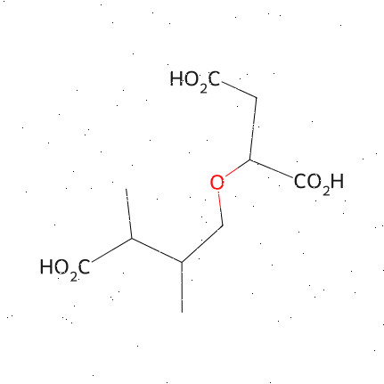 CC(COC(CC(=O)O)C(=O)O)C(C)C(=O)O